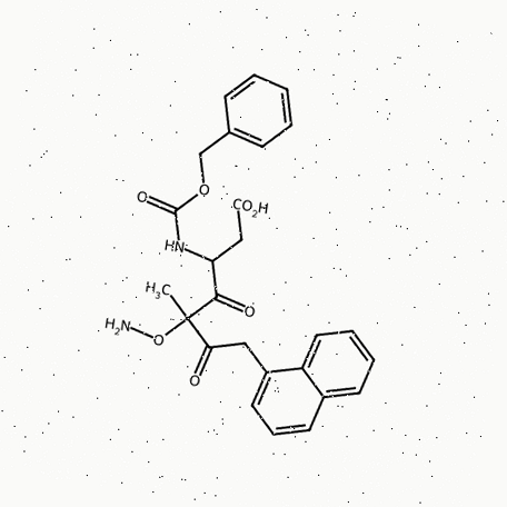 CC(ON)(C(=O)Cc1cccc2ccccc12)C(=O)C(CC(=O)O)NC(=O)OCc1ccccc1